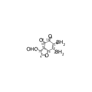 BC1=C(B)c2occ(C=O)c2C(=O)C1=O